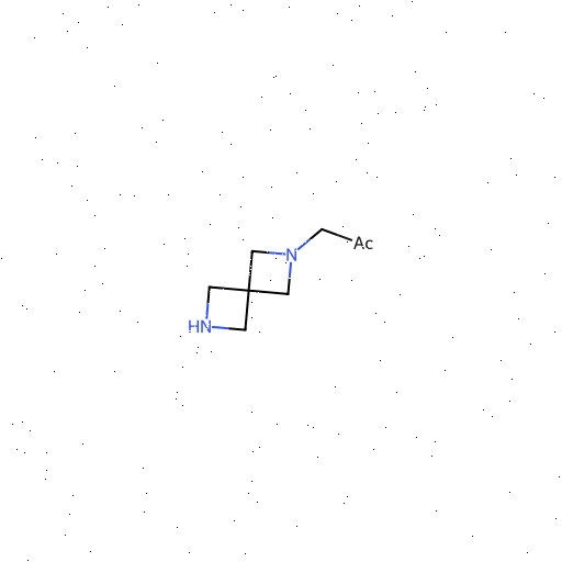 CC(=O)CN1CC2(CNC2)C1